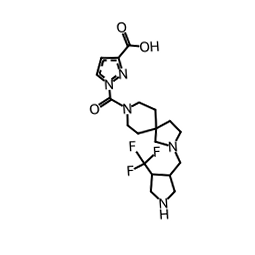 O=C(O)c1ccn(C(=O)N2CCC3(CCN(CC4CNCC4C(F)(F)F)C3)CC2)n1